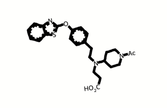 CC(=O)N1CCC(N(CCC(=O)O)CCc2ccc(Oc3nc4ccccc4s3)cc2)CC1